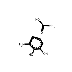 NC(=O)O.Nc1cccc(O)c1O